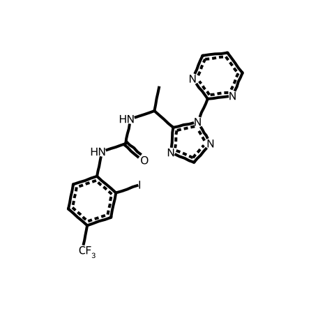 CC(NC(=O)Nc1ccc(C(F)(F)F)cc1I)c1ncnn1-c1ncccn1